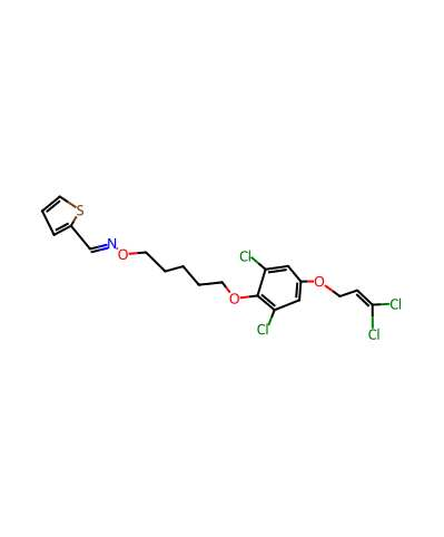 ClC(Cl)=CCOc1cc(Cl)c(OCCCCCON=Cc2cccs2)c(Cl)c1